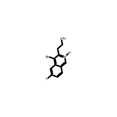 CC(=O)OCCc1c(Br)c2cc(F)ccc2c[n+]1[O-]